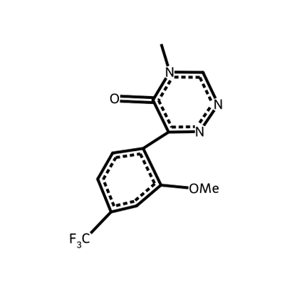 COc1cc(C(F)(F)F)ccc1-c1nncn(C)c1=O